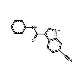 N#Cc1ccc2c(C(=O)Nc3ccccc3)c[nH]c2c1